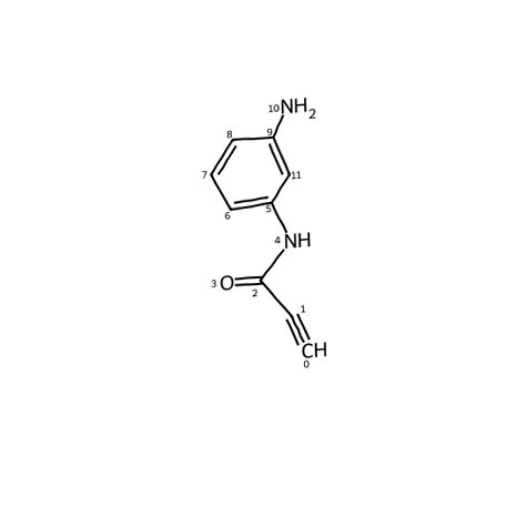 C#CC(=O)Nc1cccc(N)c1